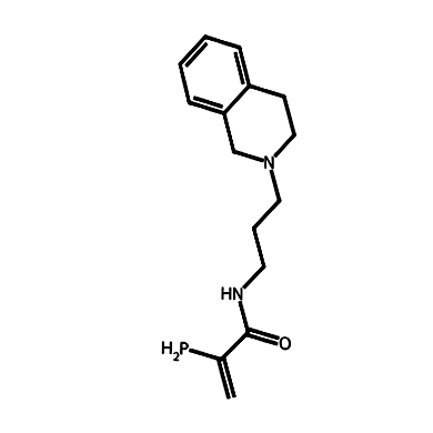 C=C(P)C(=O)NCCCN1CCc2ccccc2C1